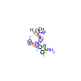 CC(C)=C(C#N)C(=O)N1CC2(C1)CN(c1nc(OC[C@@]34CCCN3C[C@H](F)C4)nc3c(F)c(-c4ccc(F)c5sc(N)c(C#N)c45)c(Cl)cc13)CCO2